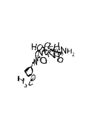 COc1cccc(C=NN2CCN([C@]3(C(=O)O)CN4C(=O)[C@@H](N)[C@H]4S3)C2=O)c1